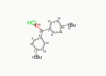 CC(C)(C)c1ccc(C(=O)c2ccc(C(C)(C)C)cc2)cc1.Cl